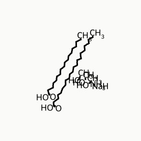 CCCCCCCCCCCCCCCCCC(=O)O.CCCCCCCCCCCCCCCCCCCCCC(=O)O.CCO.CCO.CCO.N.[NaH]